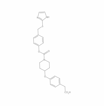 O=C(O)Cc1ccc(OC2CCN(C(=O)Oc3ccc(CSc4ncc[nH]4)cc3)CC2)cc1